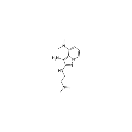 C=[N+](C)CCNc1nn2cccc(N(C)C)c2c1N